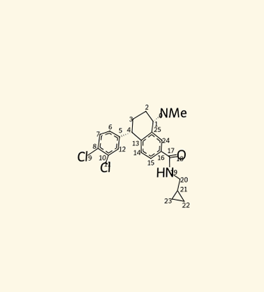 CN[C@H]1CC[C@@H](c2ccc(Cl)c(Cl)c2)c2ccc(C(=O)NCC3CC3)cc21